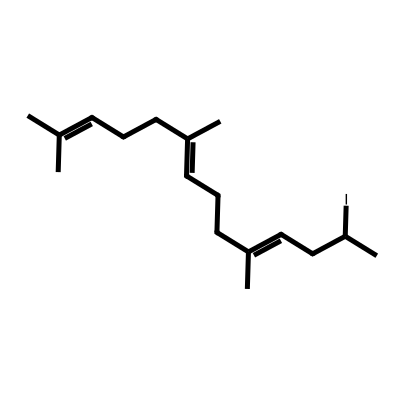 CC(C)=CCCC(C)=CCCC(C)=CCC(C)I